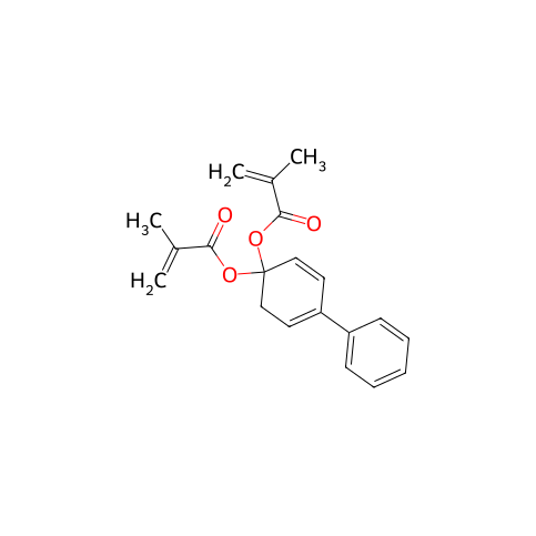 C=C(C)C(=O)OC1(OC(=O)C(=C)C)C=CC(c2ccccc2)=CC1